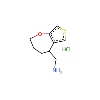 Cl.NCC1CCCOc2cscc21